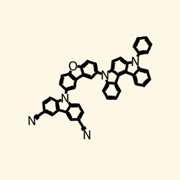 N#Cc1ccc2c(c1)c1cc(C#N)ccc1n2-c1ccc2oc3ccc(-n4c5ccccc5c5c6c7ccccc7n(-c7ccccc7)c6ccc54)cc3c2c1